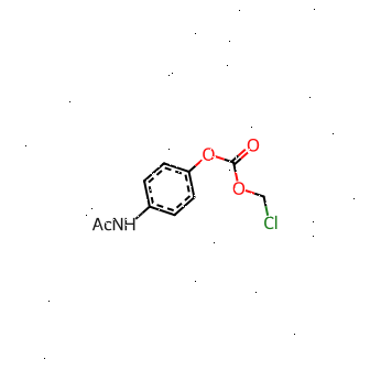 CC(=O)Nc1ccc(OC(=O)OCCl)cc1